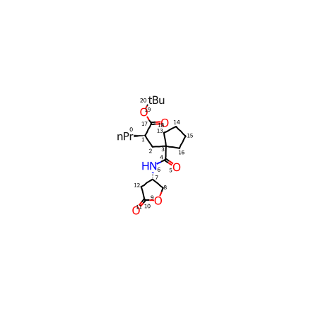 CCC[C@H](CC1(C(=O)N[C@@H]2COC(=O)C2)CCCC1)C(=O)OC(C)(C)C